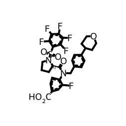 O=C(O)c1ccc(N(Cc2ccc(C3CCOCC3)cc2)C(=O)[C@H]2CCCN2S(=O)(=O)c2c(F)c(F)c(F)c(F)c2F)c(F)c1